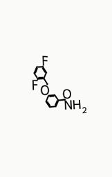 NC(=O)c1cccc(OCc2cc(F)ccc2F)c1